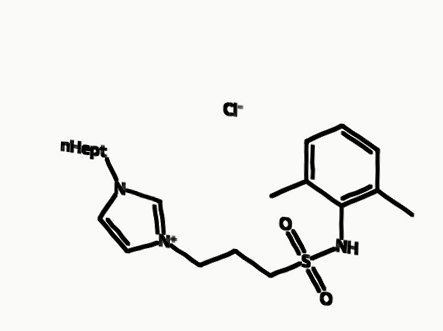 CCCCCCCn1cc[n+](CCCS(=O)(=O)Nc2c(C)cccc2C)c1.[Cl-]